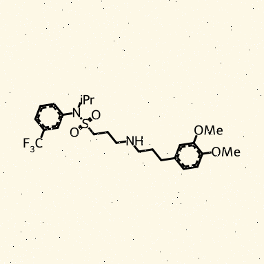 COc1ccc(CCCNCCCS(=O)(=O)N(c2cccc(C(F)(F)F)c2)C(C)C)cc1OC